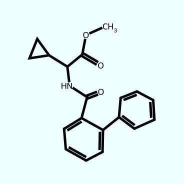 COC(=O)C(NC(=O)c1ccccc1-c1ccccc1)C1CC1